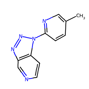 Cc1ccc(-n2nnc3cnccc32)nc1